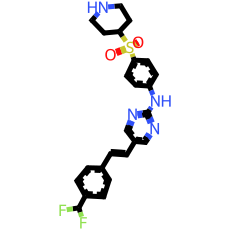 O=S(=O)(c1ccc(Nc2ncc(C=Cc3ccc(C(F)F)cc3)cn2)cc1)C1CCNCC1